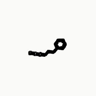 O=C=C=CC=Cc1ccccc1